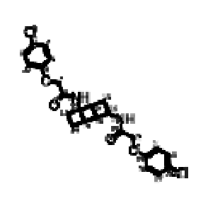 O=C(COc1ccc(Cl)cc1)NC12CC3C1C1C2CC31NC(=O)COc1ccc(Cl)cc1